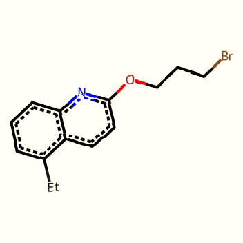 CCc1cccc2nc(OCCCBr)ccc12